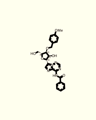 COc1ccc(CO[C@H]2[C@@H](O)[C@H](c3cnc4c(NC(=O)c5ccccc5)ncnn34)O[C@@H]2CO)cc1